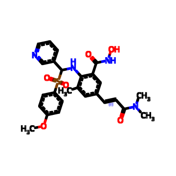 COc1ccc(S(=O)(=O)C(Nc2c(C)cc(/C=C/C(=O)N(C)C)cc2C(=O)NO)c2cccnc2)cc1